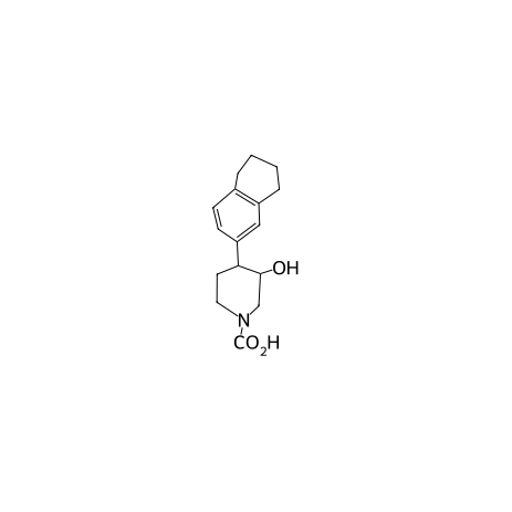 O=C(O)N1CCC(c2ccc3c(c2)CCCC3)C(O)C1